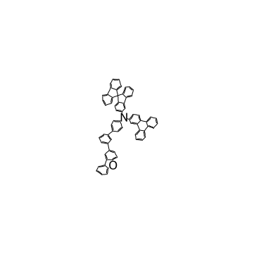 c1cc(-c2ccc(N(c3ccc4c(c3)-c3ccccc3C43c4ccccc4-c4ccccc43)c3ccc4c5ccccc5c5ccccc5c4c3)cc2)cc(-c2ccc3oc4ccccc4c3c2)c1